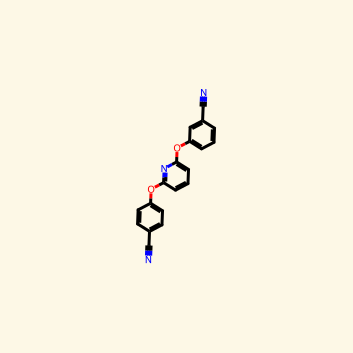 N#Cc1ccc(Oc2cccc(Oc3cccc(C#N)c3)n2)cc1